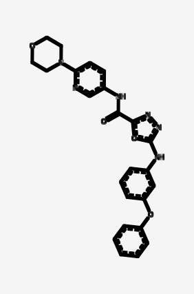 O=C(Nc1ccc(N2CCOCC2)nc1)c1nnc(Nc2cccc(Oc3ccccc3)c2)o1